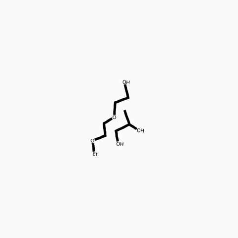 CC(O)CO.[CH2]COCCOCCO